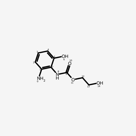 Nc1cccc(O)c1NC(=O)OCCO